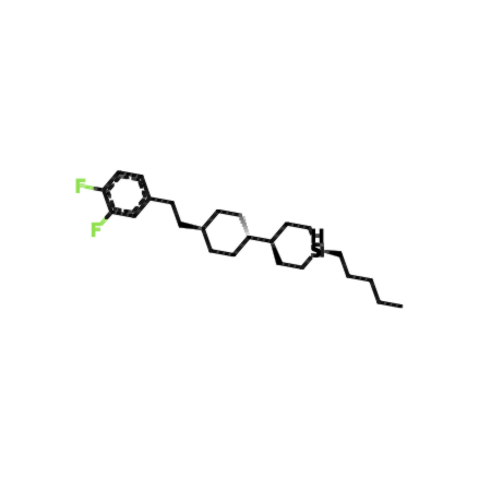 CCCCC[Si@H]1CC[C@@H]([C@H]2CC[C@H](CCc3ccc(F)c(F)c3)CC2)CC1